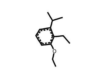 CCOc1cccc(C(C)C)c1CC